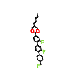 C/C=C/CCC1COC(c2ccc(-c3ccc(C4CCC(CF)CC4)c(F)c3)c(F)c2)OC1